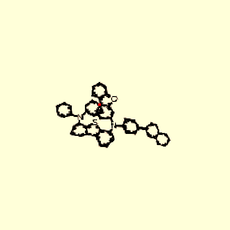 c1ccc(N(c2ccccc2)c2cccc3c2sc2c(N(c4ccc(-c5ccc6ccccc6c5)cc4)c4ccc5c(c4)oc4ccccc45)cccc23)cc1